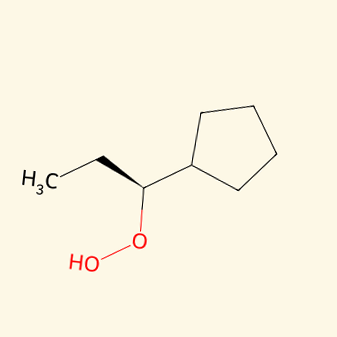 CC[C@H](OO)C1CCCC1